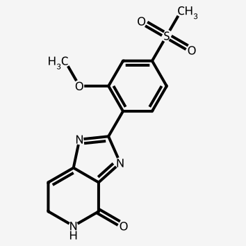 COc1cc(S(C)(=O)=O)ccc1C1=NC2=CCNC(=O)C2=N1